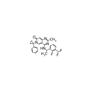 Cc1nc(NC(C)c2cccc(C(F)F)c2F)c2cn(C3(c4ccccc4)CC3)c(=O)cc2n1